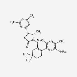 COc1cc(C)c(NC(C)=O)cc1C1=C(CN2C(=O)O[C@H](c3cc(C(F)(F)F)cc(C(F)(F)F)c3)[C@@H]2C)CC(C)(C)CC1